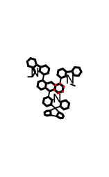 CCn1c2ccccc2c2cccc(-c3cccc4c(-c5cccc6c5N(c5ccccc5)c5ccccc5C65c6ccccc6-c6ccccc65)c5cccc(-c6cccc7c8ccccc8n(CC)c67)c5cc34)c21